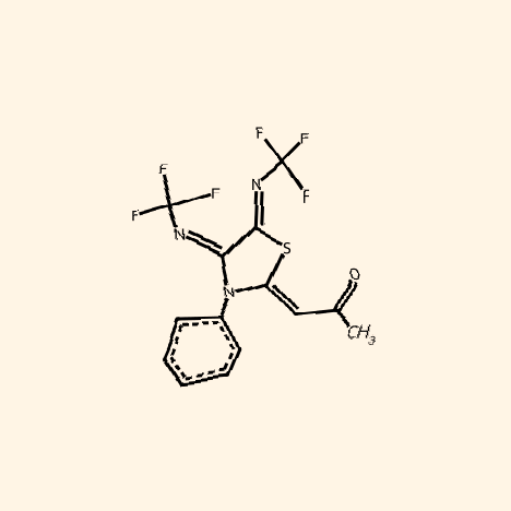 CC(=O)C=C1SC(=NC(F)(F)F)C(=NC(F)(F)F)N1c1ccccc1